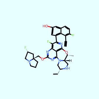 C#Cc1c(F)ccc2cc(O)cc(-c3nc4c5c(nc(OC[C@@]67CCCN6C[C@H](F)C7)nc5c3F)N3C[C@@H](CC)NC[C@H]3[C@@H](C)O4)c12